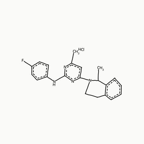 Cc1cc(N2CCc3ccccc3C2C)nc(Nc2ccc(F)cc2)n1.Cl